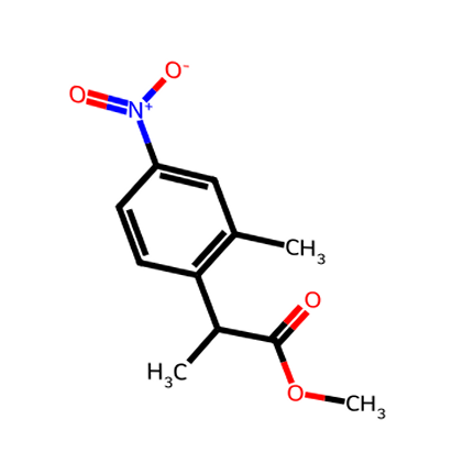 COC(=O)C(C)c1ccc([N+](=O)[O-])cc1C